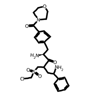 NC(CC(CS(=O)(=O)CCl)C(=O)[C@@H](N)Cc1ccc(C(=O)N2CCOCC2)cc1)c1ccccc1